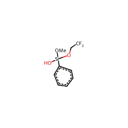 CO[Si](O)(OCC(F)(F)F)c1ccccc1